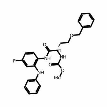 CC(C)(C)OC(=O)N[C@@H](CCOCc1ccccc1)C(=O)Nc1ccc(F)cc1Nc1ccccc1